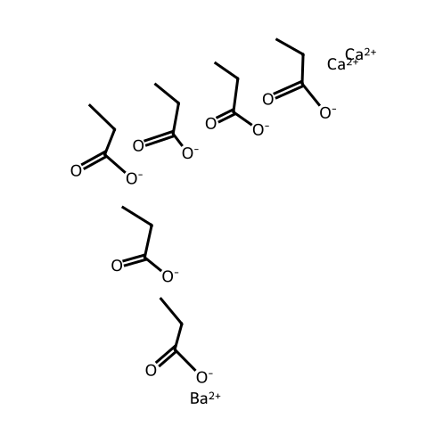 CCC(=O)[O-].CCC(=O)[O-].CCC(=O)[O-].CCC(=O)[O-].CCC(=O)[O-].CCC(=O)[O-].[Ba+2].[Ca+2].[Ca+2]